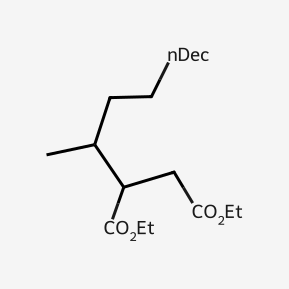 CCCCCCCCCCCCC(C)C(CC(=O)OCC)C(=O)OCC